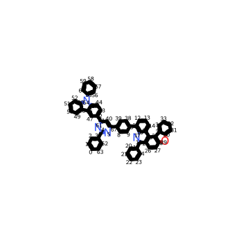 c1ccc(-c2nc(-c3ccc(-c4cccc5c4nc(-c4ccccc4)c4ccc6oc7ccccc7c6c45)cc3)cc(-c3ccc4c(c3)c3ccccc3n4-c3ccccc3)n2)cc1